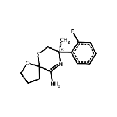 C[C@@]1(c2ccccc2F)CSC2(CCCO2)C(N)=N1